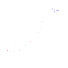 COC1=C(OCCN)CCC(/C=C/C(=O)CC(=O)/C=C/c2ccc(OC)c(OC)c2)=C1